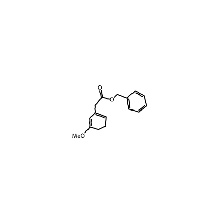 COC1=CC(CC(=O)OCc2ccccc2)=CCC1